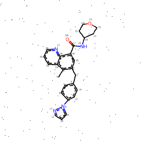 Cc1c(Cc2ccc(-n3cccn3)cc2)cc(C(=O)NC2CCOCC2)c2ncccc12